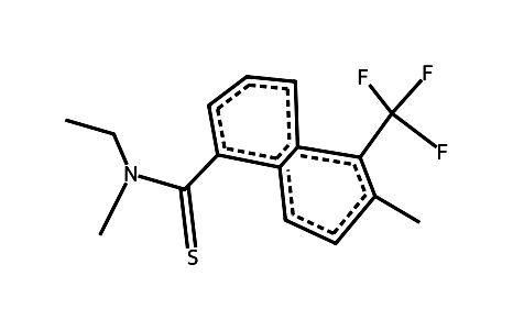 CCN(C)C(=S)c1cccc2c(C(F)(F)F)c(C)ccc12